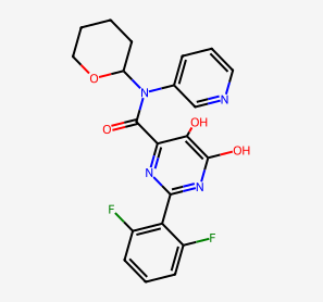 O=C(c1nc(-c2c(F)cccc2F)nc(O)c1O)N(c1cccnc1)C1CCCCO1